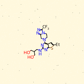 CCc1cc2c(N3CCn4c(nnc4C(F)(F)F)C3)nc(NCC(CO)CO)nc2s1